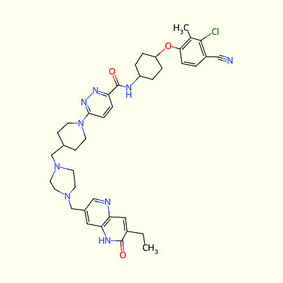 CCc1cc2ncc(CN3CCN(CC4CCN(c5ccc(C(=O)NC6CCC(Oc7ccc(C#N)c(Cl)c7C)CC6)nn5)CC4)CC3)cc2[nH]c1=O